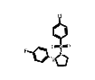 O=S(=O)(c1ccc(Cl)cc1)N1CCC[C@@H]1c1ccc(F)cc1